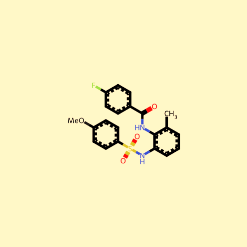 COc1ccc(S(=O)(=O)Nc2cccc(C)c2NC(=O)c2ccc(F)cc2)cc1